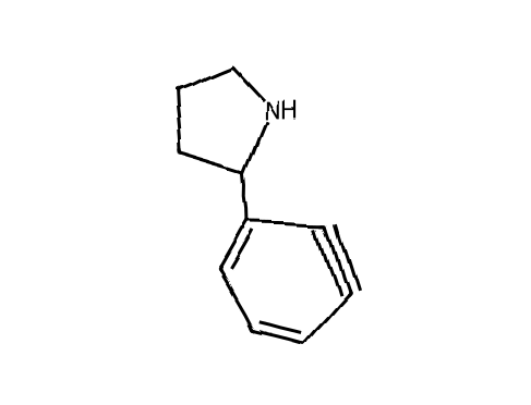 c1cccc(C2CCCN2)c#1